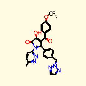 Cc1ccc(N2C(=O)C(O)=C(C(=O)c3ccc(OC(F)(F)F)cc3)C2c2ccc(Cn3nccn3)cc2)nn1